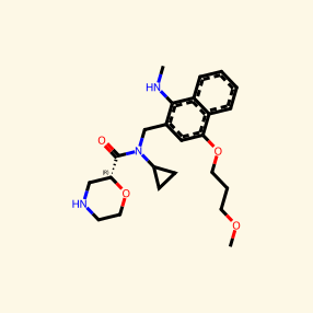 CNc1c(CN(C(=O)[C@H]2CNCCO2)C2CC2)cc(OCCCOC)c2ccccc12